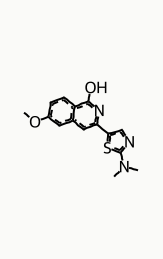 COc1ccc2c(O)nc(-c3cnc(N(C)C)s3)cc2c1